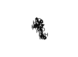 CN(C)C(=O)[C@@H](NC(=O)CNC(=O)C(=O)C(CC1CC1)NC(=O)[C@@H]1[C@H]2CC(F)(F)C[C@H]2CN1C(=O)[C@@H](NC(=O)OC(C)(C)C)C1CCCCC1)c1ccccc1